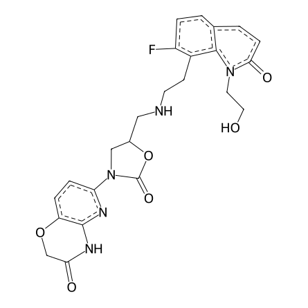 O=C1COc2ccc(N3CC(CNCCc4c(F)ccc5ccc(=O)n(CCO)c45)OC3=O)nc2N1